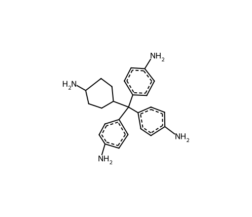 Nc1ccc(C(c2ccc(N)cc2)(c2ccc(N)cc2)C2CCC(N)CC2)cc1